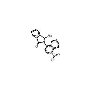 O=C1C2C3C=CC(C3)C2C(O)N1c1ccc([N+](=O)[O-])c2ccccc12